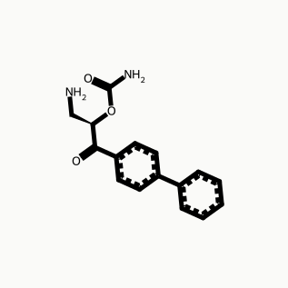 NC[C@@H](OC(N)=O)C(=O)c1ccc(-c2ccccc2)cc1